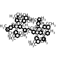 Cc1cc2c(c(C)c1N1c3cc(C(C)(C)C)ccc3B3c4oc5cc6c(cc5c4N(c4ccc5c(c4)C(C)(C)CCC5(C)C)c4cc(-c5cccc(CC(C)(C)c7ccc8c(c7)B7c9oc%10cc%11c(cc%10c9N(c9ccc%10c(c9)C(C)(C)CCC%10(C)C)c9cc(N(c%10ccccc%10)c%10ccccc%10)cc(c97)N8c7ccc8c(c7)C(C)(C)CCC8(C)C)C7(C)CCC%11(C)C7)c5)cc1c43)C1(C)CCC6(C)CC1)C(C)(C)CCC2(C)C